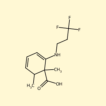 CC1C=CC=C(NCCC(F)(F)F)C1(C)C(=O)O